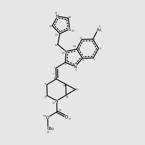 CC(=O)c1ccc2nc(/C=C3/CCN(C(=O)OC(C)(C)C)C4CC34)n(Cc3cncs3)c2c1